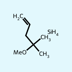 C=CCC(C)(C)OC.[SiH4]